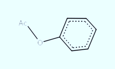 CC(=O)Oc1c[c]ccc1